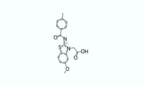 COc1ccc2s/c(=N\C(=O)c3ccc(C)cc3)n(CC(=O)O)c2c1